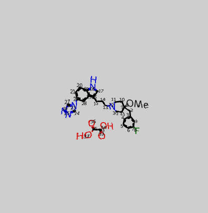 COC1(Cc2cccc(F)c2)CCN(CCCc2c[nH]c3ccc(-n4cnnc4)cc23)CC1.O=C(O)C(=O)O